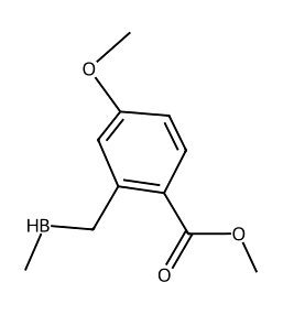 CBCc1cc(OC)ccc1C(=O)OC